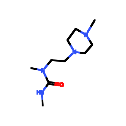 CNC(=O)N(C)CCN1CCN(C)CC1